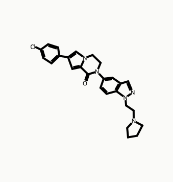 O=C1c2cc(-c3ccc(Cl)cc3)cn2CCN1c1ccc2c(cnn2CCN2CCCC2)c1